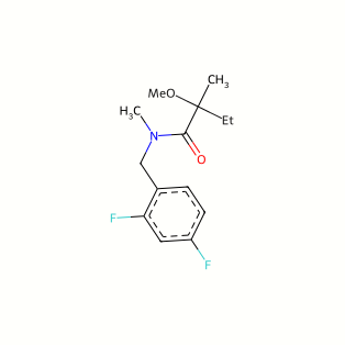 CCC(C)(OC)C(=O)N(C)Cc1ccc(F)cc1F